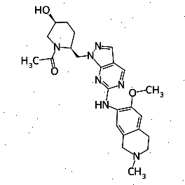 COc1cc2c(cc1Nc1ncc3cnn(C[C@@H]4CC[C@H](O)CN4C(C)=O)c3n1)CN(C)CC2